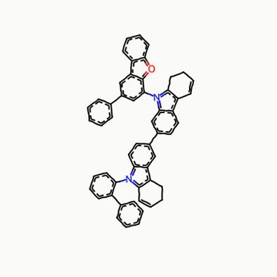 C1=Cc2c(c3cc(-c4ccc5c6c(n(-c7cc(-c8ccccc8)cc8c7oc7ccccc78)c5c4)CCC=C6)ccc3n2-c2ccccc2-c2ccccc2)CC1